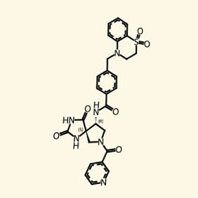 O=C1NC(=O)[C@@]2(CN(C(=O)c3cccnc3)C[C@H]2NC(=O)c2ccc(CN3CCS(=O)(=O)c4ccccc43)cc2)N1